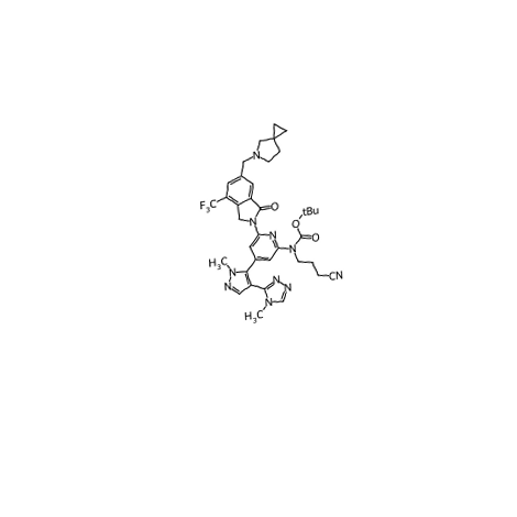 Cn1cnnc1-c1cnn(C)c1-c1cc(N(CCCC#N)C(=O)OC(C)(C)C)nc(N2Cc3c(cc(CN4CCC5(CC5)C4)cc3C(F)(F)F)C2=O)c1